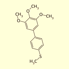 COc1cc(-c2ccc(SC)cc2)cc(OC)c1OC